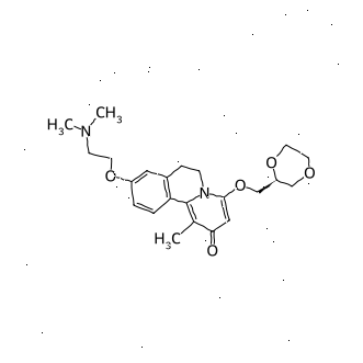 Cc1c2n(c(OC[C@@H]3COCCO3)cc1=O)CCc1cc(OCCN(C)C)ccc1-2